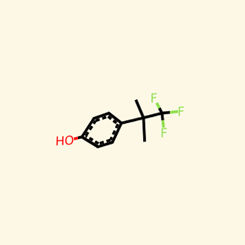 CC(C)(c1ccc(O)cc1)C(F)(F)F